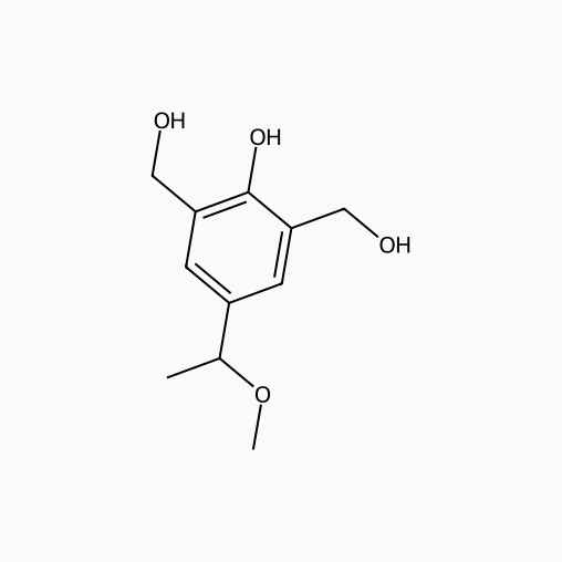 COC(C)c1cc(CO)c(O)c(CO)c1